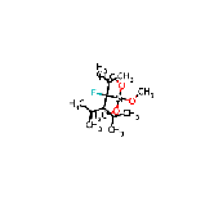 CO[Si](OC)(OC)C(F)(C(C)C)C(C(C)C)C(C)C